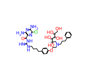 C[C@@](O)(CN(CCCc1ccccc1)CCOc1ccc(CCCCNC(=N)NC(=O)c2nc(Cl)c(N)nc2N)cc1)[C@@H](O)[C@H](O)[C@H](O)CO